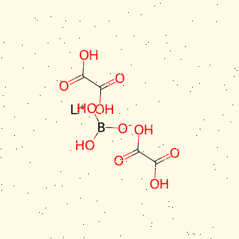 O=C(O)C(=O)O.O=C(O)C(=O)O.[Li+].[O-]B(O)O